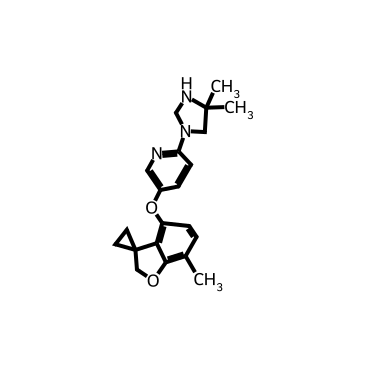 Cc1ccc(Oc2ccc(N3CNC(C)(C)C3)nc2)c2c1OCC21CC1